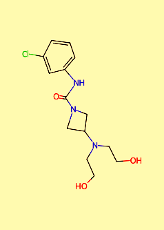 O=C(Nc1cccc(Cl)c1)N1CC(N(CCO)CCO)C1